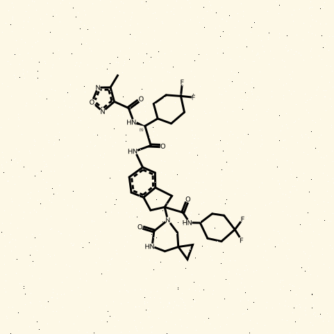 Cc1nonc1C(=O)N[C@H](C(=O)Nc1ccc2c(c1)CC(C(=O)NC1CCC(F)(F)CC1)(N1CC3(CC3)CNC1=O)C2)C1CCC(F)(F)CC1